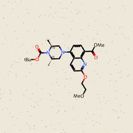 COCCOc1ccc2c(N3C[C@H](C)N(C(=O)OC(C)(C)C)[C@@H](C)C3)ccc(C(=O)OC)c2n1